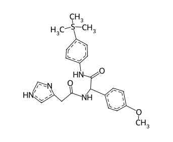 COc1ccc(C(NC(=O)Cc2c[nH]cn2)C(=O)Nc2ccc(S(C)(C)C)cc2)cc1